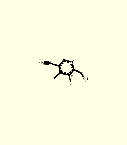 Cc1c(C#N)cnc(CO)c1Cl